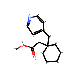 COC(=O)CC1(Cc2ccncc2)CCCCC1